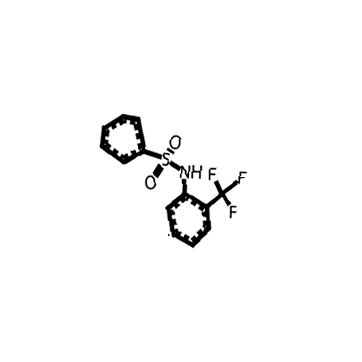 O=S(=O)(Nc1c[c]ccc1C(F)(F)F)c1ccccc1